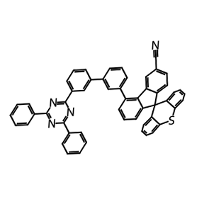 N#Cc1ccc2c(c1)-c1c(-c3cccc(-c4cccc(-c5nc(-c6ccccc6)nc(-c6ccccc6)n5)c4)c3)cccc1C21c2ccccc2Sc2ccccc21